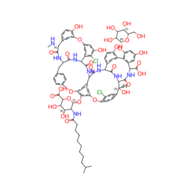 CN[C@H]1C(=O)NC2Cc3ccc(cc3)Oc3cc4cc(c3O[C@@H]3OC(C(=O)O)C(O)[C@H](O)C3NC(=O)CCCCCCCCC(C)C)Oc3ccc(cc3Cl)[C@@H](O)C3NC(=O)C(NC(=O)C4NC(=O)C(NC2=O)c2cc(cc(O)c2Cl)Oc2cc1ccc2O)c1ccc(O)c(c1)-c1c(O[C@H]2OC(CO)[C@@H](O)C(O)C2O)cc(O)cc1C(C(=O)O)NC3=O